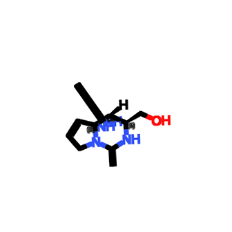 C=C1N[C@H]2[C@@H](CO)NC(=C)N3CC=C[C@]23N1